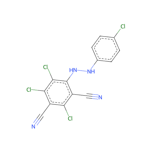 N#Cc1c(Cl)c(Cl)c(NNc2ccc(Cl)cc2)c(C#N)c1Cl